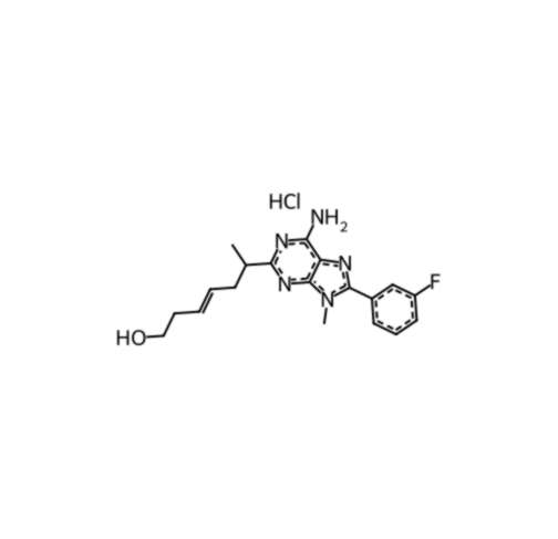 CC(CC=CCCO)c1nc(N)c2nc(-c3cccc(F)c3)n(C)c2n1.Cl